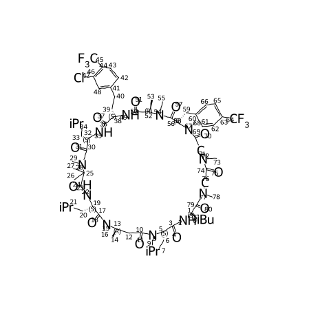 CC[C@H](C)[C@@H]1NC(=O)[C@H](CC(C)C)N(C)C(=O)C[C@@H](C)N(C)C(=O)[C@H](CC(C)C)NC(=O)C(C)(C)N(C)C(=O)[C@H](CC(C)C)NC(=O)[C@H](CCc2ccc(C(F)(F)F)c(Cl)c2)NC(=O)[C@@H](C)N(C)C(=O)[C@H](Cc2ccc(C(F)(F)F)cc2)N(C)C(=O)CN(C)C(=O)CN(C)C1=O